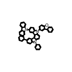 c1ccc(-c2ccc3c(c2)c2c4c5cc(-n6c7ccccc7c7ccccc76)ccc5n(-c5ccc6oc7ccccc7c6c5)c4ccc2n3-c2ccccc2)cc1